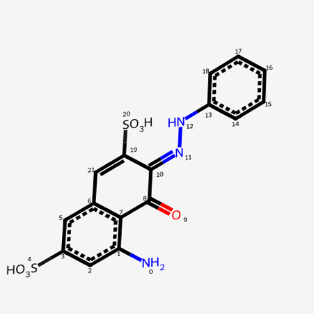 Nc1cc(S(=O)(=O)O)cc2c1C(=O)C(=NNc1ccccc1)C(S(=O)(=O)O)=C2